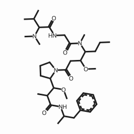 CCCC(C(CC(=O)N1CCCC1C(OC)C(C)C(=O)NC(C)Cc1ccccc1)OC)N(C)C(=O)CNC(=O)C(C(C)C)N(C)C